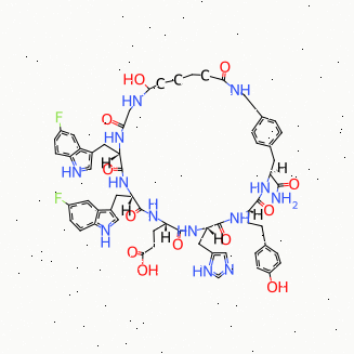 NC(=O)[C@@H]1Cc2ccc(cc2)CNC(=O)CCCCC(O)NCC(=O)N[C@@H](Cc2c[nH]c3ccc(F)cc23)C(=O)N[C@@H](Cc2c[nH]c3ccc(F)cc23)C(=O)N[C@@H](CCC(=O)O)C(=O)N[C@@H](Cc2cnc[nH]2)C(=O)N[C@@H](CCc2ccc(O)cc2)C(=O)N1